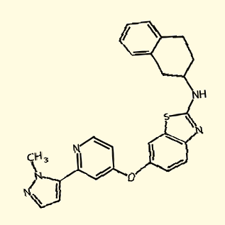 Cn1nccc1-c1cc(Oc2ccc3nc(NC4CCc5ccccc5C4)sc3c2)ccn1